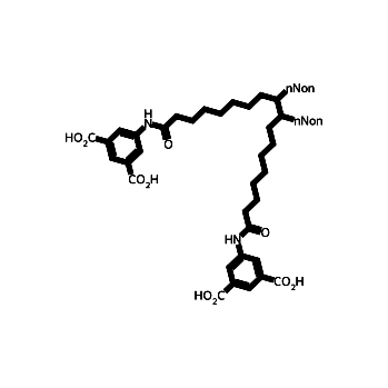 CCCCCCCCCC(CCCCCCCC(=O)Nc1cc(C(=O)O)cc(C(=O)O)c1)C(CCCCCCCCC)CCCCCCCC(=O)Nc1cc(C(=O)O)cc(C(=O)O)c1